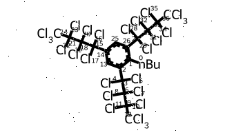 [CH2]CCCc1c(C(Cl)(Cl)C(Cl)(Cl)C(Cl)(Cl)C(Cl)(Cl)Cl)cc(C(Cl)(Cl)C(Cl)(Cl)C(Cl)(Cl)C(Cl)(Cl)Cl)cc1C(Cl)(Cl)C(Cl)(Cl)C(Cl)(Cl)C(Cl)(Cl)Cl